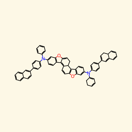 C1=CCCC(N(c2ccc(C3=CCC4C=CC=CC4=C3)cc2)c2ccc3c4c(oc3c2)C=CC2=c3c(oc5cc(N(c6ccccc6)c6ccc(-c7ccc8ccccc8c7)cc6)ccc35)=CCC24)=C1